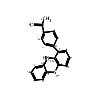 CC(=O)c1ccc(-c2cccc3c2Nc2ccccc2S3)cc1